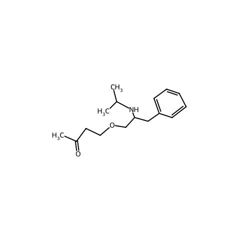 CC(=O)CCOCC(Cc1ccccc1)NC(C)C